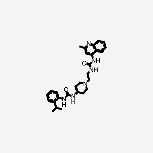 Cc1cc(NC(=O)NCCN2CCC(NC(=O)Nc3ccccc3C(C)C)CC2)c2ccccc2n1